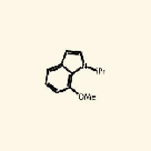 COc1cccc2ccn(C(C)C)c12